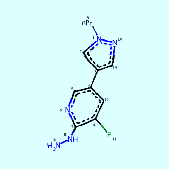 CCCn1cc(-c2cnc(NN)c(F)c2)cn1